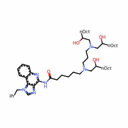 CCCCCCCCC(O)CN(CCCCCC(=O)Nc1nc2ccccc2c2c1ncn2CC(C)C)CCCN(CC(O)CCCCCCCC)CC(O)CCCCCCCC